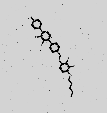 CCCCCOc1ccc(OCc2ccc(-c3ccc(-c4ccc(C)cc4)c(F)c3F)cc2)c(F)c1F